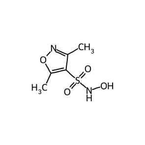 Cc1noc(C)c1S(=O)(=O)NO